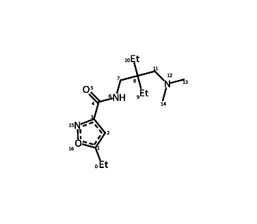 CCc1cc(C(=O)NCC(CC)(CC)CN(C)C)no1